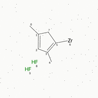 CC1=CC(C)=[C]([Zr])C1.F.F